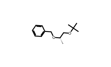 C[C@@H](COC(C)(C)C)OCc1ccccc1